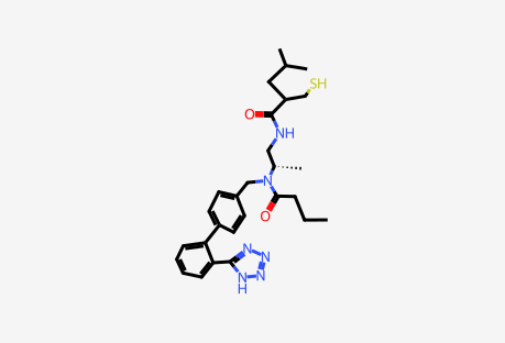 CCCC(=O)N(Cc1ccc(-c2ccccc2-c2nnn[nH]2)cc1)[C@@H](C)CNC(=O)C(CS)CC(C)C